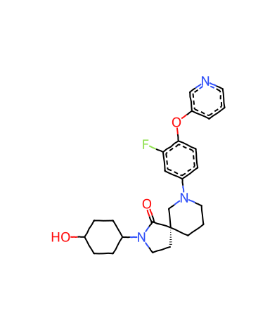 O=C1N(C2CCC(O)CC2)CC[C@]12CCCN(c1ccc(Oc3cccnc3)c(F)c1)C2